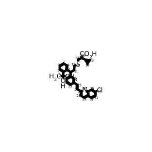 CC(C)(O)c1ccccc1C(CCSCC(C(=O)O)C1CC1)c1cccc(C=Cc2ccc3ccc(Cl)cc3n2)c1